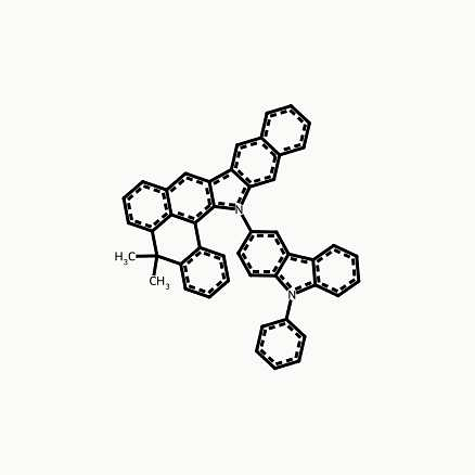 CC1(C)c2ccccc2-c2c3c1cccc3cc1c3cc4ccccc4cc3n(-c3ccc4c(c3)c3ccccc3n4-c3ccccc3)c21